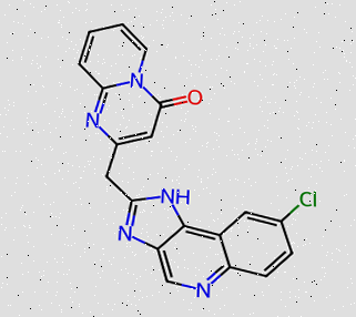 O=c1cc(Cc2nc3cnc4ccc(Cl)cc4c3[nH]2)nc2ccccn12